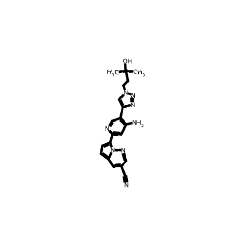 CC(C)(O)CCn1cc(-c2cnc(-c3ccc4cc(C#N)cnn34)cc2N)nn1